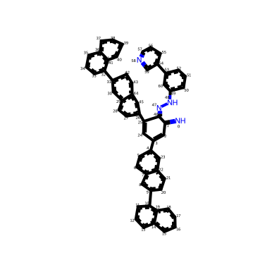 N=C1C=C(c2ccc3cc(-c4cccc5ccccc45)ccc3c2)C=C(c2ccc3cc(-c4cccc5ccccc45)ccc3c2)/C1=N/Nc1cccc(-c2cccnc2)c1